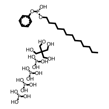 CCCCCCCCCCCCCOP(O)Oc1ccccc1.OCC(CO)(CO)CO.OP(O)O.OP(O)O.OP(O)O.OP(O)O